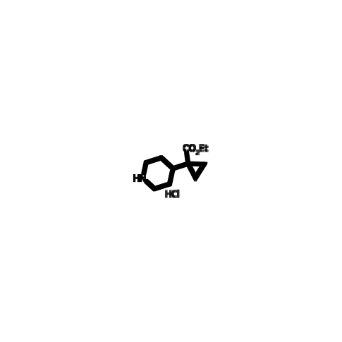 CCOC(=O)C1(C2CCNCC2)CC1.Cl